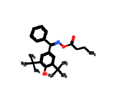 CCCC(=O)ON=C(c1ccccc1)c1cc(C(C)(C)C)c(O)c(C(C)(C)C)c1